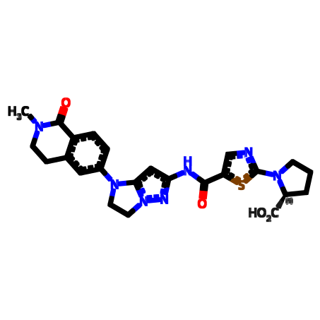 CN1CCc2cc(N3CCn4nc(NC(=O)c5cnc(N6CCC[C@H]6C(=O)O)s5)cc43)ccc2C1=O